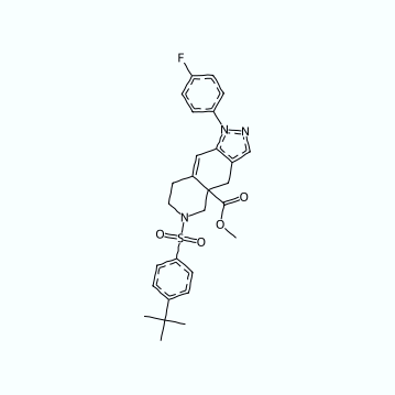 COC(=O)C12Cc3cnn(-c4ccc(F)cc4)c3C=C1CCN(S(=O)(=O)c1ccc(C(C)(C)C)cc1)C2